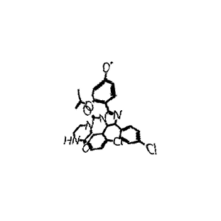 COc1ccc(C2=NC(c3ccc(Cl)cc3)C(C3CC=CC=C3Cl)N2C(=O)N2CCNC(=O)C2)c(OC(C)C)c1